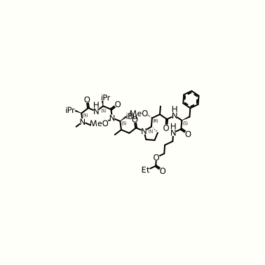 CCC(=O)OCCCNC(=O)[C@H](Cc1ccccc1)NC(=O)C(C)[C@@H](OC)[C@@H]1CCCN1C(=O)CC(C)[C@H](C(C)CC)N(OC)C(=O)[C@@H](NC(=O)[C@H](C(C)C)N(C)C)C(C)C